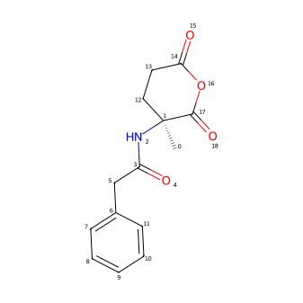 C[C@]1(NC(=O)Cc2ccccc2)CCC(=O)OC1=O